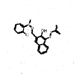 C=C(C)N=Nc1c(O)c(CON(C)c2ccccc2Cl)cc2ccccc12